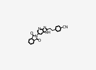 N#Cc1ccc(CCc2nc3ncc(N4C(=O)c5ccccc5C4=O)cc3[nH]2)cc1